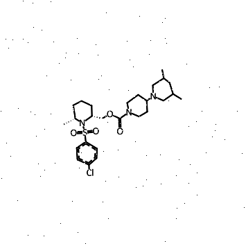 CC1CC(C)CN(C2CCN(C(=O)OC[C@H]3CCC[C@@H](C)N3S(=O)(=O)c3ccc(Cl)cc3)CC2)C1